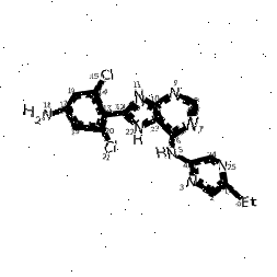 CCc1cnc(Nc2ncnc3nc(-c4c(Cl)cc(N)cc4Cl)[nH]c23)cn1